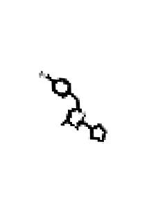 CCCc1ccc(Cc2cc(C)nc(C3CCCC3)n2)cc1